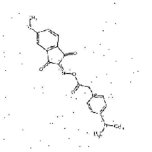 COc1ccc2c(=O)/c(=N\OC(=O)C[n+]3ccc(N(C)C)cc3)c(=O)c2c1